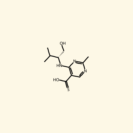 Cc1ncc(C(O)=S)c(N[C@@H](CO)C(C)C)n1